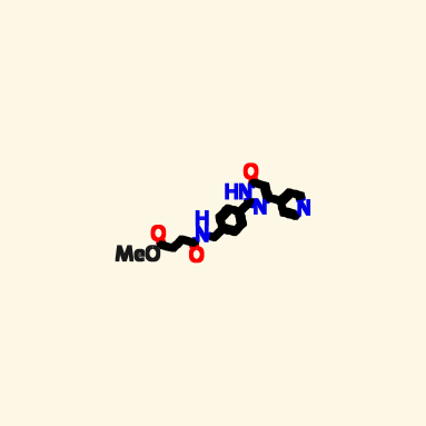 COC(=O)CCC(=O)NCc1ccc(-c2nc(-c3ccncc3)cc(=O)[nH]2)cc1